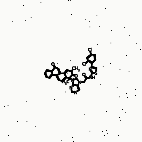 CC1C=c2c(ccc3c2=CC(=O)c2ccccc2-3)C(C)(N2CN(CC(=O)Nc3nc(-c4ccc(Cl)cc4Cl)cs3)c3cncnc32)C1=O